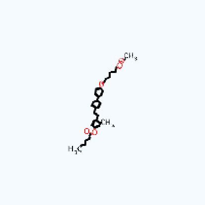 CCCCCC(=O)Oc1ccc(CCc2ccc(-c3ccc(OCCCCCCOOCC)cc3)cc2)c(C)c1